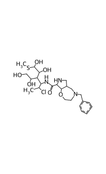 CSC(O)C(O)C(C(O)CO)C(NC(=O)C1NCC2CN(Cc3ccccc3)CCOC21)C(C)Cl